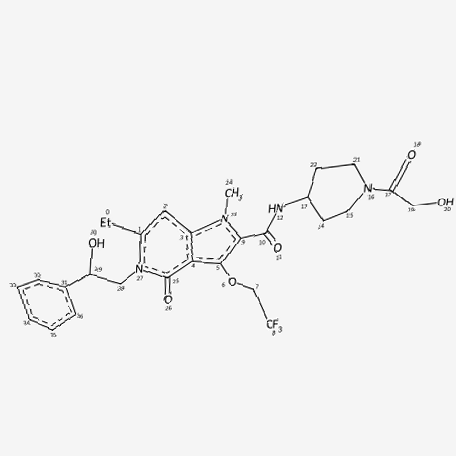 CCc1cc2c(c(OCC(F)(F)F)c(C(=O)NC3CCN(C(=O)CO)CC3)n2C)c(=O)n1CC(O)c1ccccc1